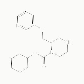 O=C(OC1CCCCC1)N1CCNCC1COc1cccnc1